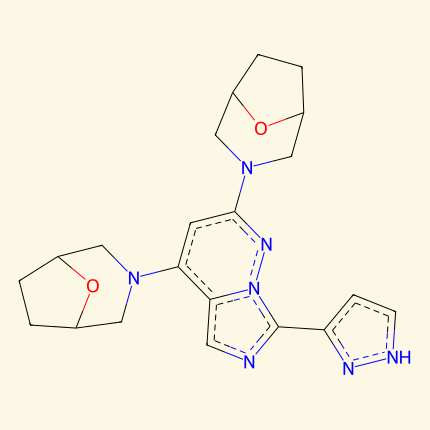 c1cc(-c2ncc3c(N4CC5CCC(C4)O5)cc(N4CC5CCC(C4)O5)nn23)n[nH]1